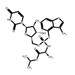 Cc1csc2cccc(OP(=O)(N[C@@H](C)C(=O)OC(C)C)OC[C@H]3O[C@@H](n4ccc(=O)[nH]c4=O)[C@@H](C)[C@@H]3O)c12